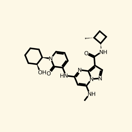 CNc1cc(Nc2cccn([C@@H]3CCCC[C@@H]3O)c2=O)nc2c(C(=O)N[C@H]3CC[C@H]3C)cnn12